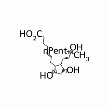 CCCCC[C@](C)(O)C=CC1C(CC=CCCCC(=O)O)[C@@H](O)C[C@H]1O